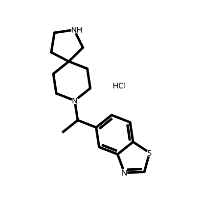 CC(c1ccc2scnc2c1)N1CCC2(CCNC2)CC1.Cl